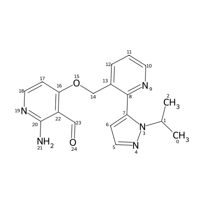 CC(C)n1nccc1-c1ncccc1COc1ccnc(N)c1C=O